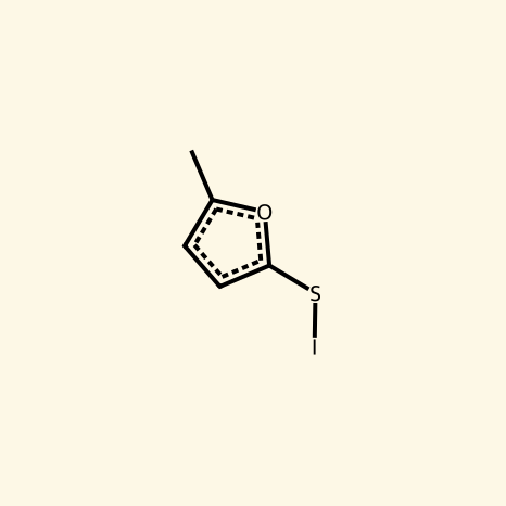 Cc1ccc(SI)o1